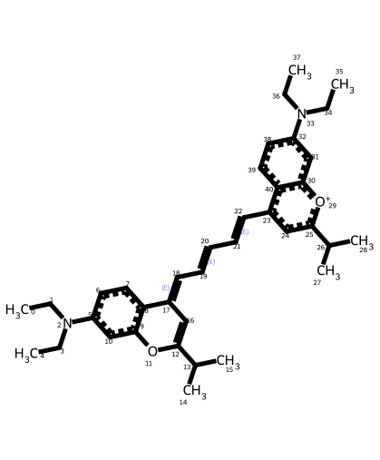 CCN(CC)c1ccc2c(c1)OC(C(C)C)=C\C2=C/C=C/C=C/c1cc(C(C)C)[o+]c2cc(N(CC)CC)ccc12